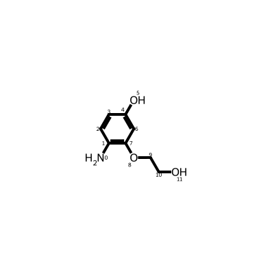 Nc1ccc(O)cc1OCCO